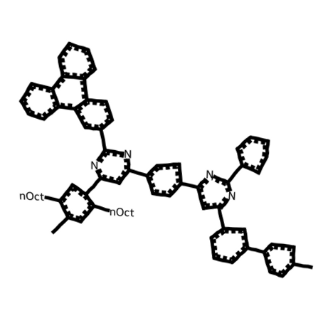 CCCCCCCCc1cc(-c2cc(-c3ccc(-c4cc(-c5cccc(-c6ccc(C)cc6)c5)nc(-c5ccccc5)n4)cc3)nc(-c3ccc4c5ccccc5c5ccccc5c4c3)n2)c(CCCCCCCC)cc1C